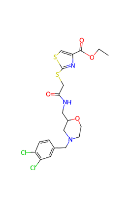 CCOC(=O)c1csc(SCC(=O)NCC2CN(Cc3ccc(Cl)c(Cl)c3)CCO2)n1